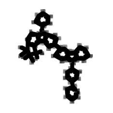 CC1(C)c2ccc3c(c2C(C)(C)C1(C)C)c1cc(-c2ccc4c(c2)c2ccccc2n4-c2ccc(-c4ccccn4)cc2)ccc1n3-c1ccccc1